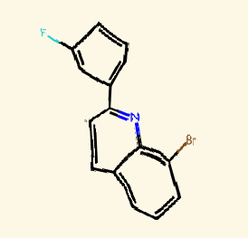 Fc1cccc(-c2[c]cc3cccc(Br)c3n2)c1